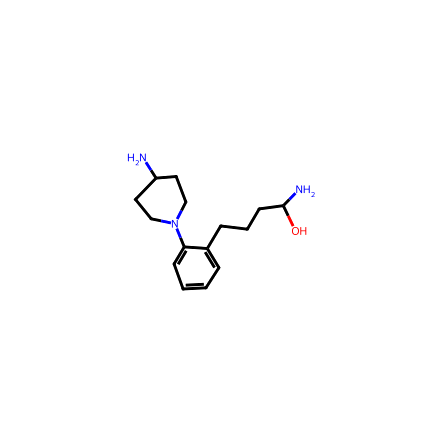 NC(O)CCCc1ccccc1N1CCC(N)CC1